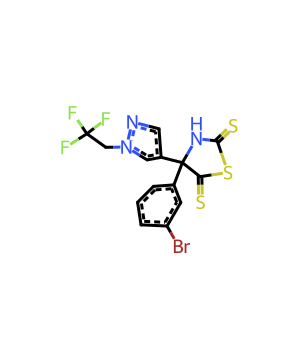 FC(F)(F)Cn1cc(C2(c3cccc(Br)c3)NC(=S)SC2=S)cn1